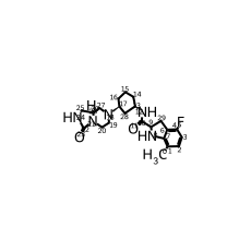 Cc1ccc(F)c2c1NC(C(=O)N[C@@H]1CCC[C@H](N3CCN4C(=O)NC[C@H]4C3)C1)C2